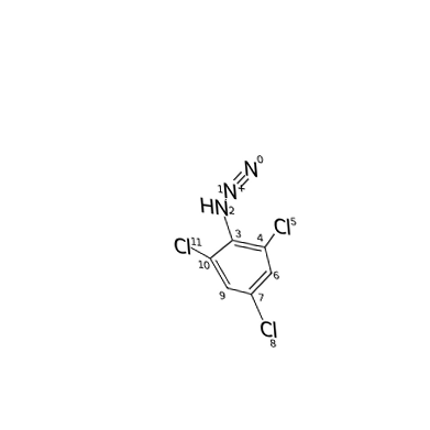 N#[N+]Nc1c(Cl)cc(Cl)cc1Cl